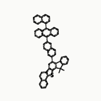 CC1(C)c2ccccc2-c2c(-c3ccc4cc(-c5c6ccccc6c(-c6cccc7ccccc67)c6ccccc56)ccc4c3)cc3c(sc4c5ccccc5ccc34)c21